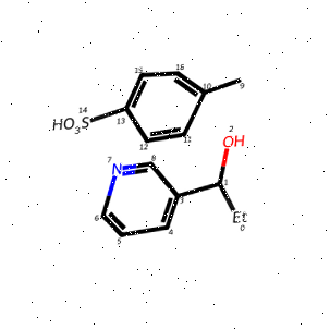 CCC(O)c1cccnc1.Cc1ccc(S(=O)(=O)O)cc1